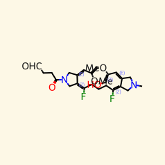 C=C(/C=C1/CN(C(=O)CCC=O)C/C1=C(\F)CCC/C(F)=C1/CN(C)C/C1=C/C(=C/O)OC)OC